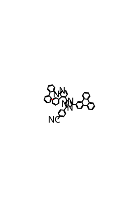 N#Cc1ccc(-c2nc(-c3ccc4c5ccccc5c5ccccc5c4c3)nc(-c3ccnc4c3c3ccccc3n4-c3ccccc3-c3ccccc3)n2)cc1